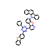 c1ccc(-c2nc(-c3ccc4c(c3)sc3ccccc34)nc(-c3ccnc4oc5c(-n6c7ccccc7c7ccc8ccccc8c76)cccc5c34)n2)cc1